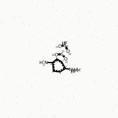 CC(=O)Nc1ccc(N)cc1.F.F.O=S=O.O=S=O